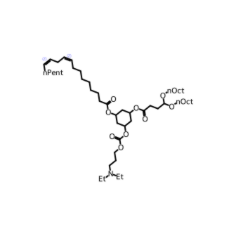 CCCCC/C=C\C/C=C\CCCCCCCC(=O)OC1CC(OC(=O)CCC(OCCCCCCCC)OCCCCCCCC)CC(OC(=O)OCCCN(CC)CC)C1